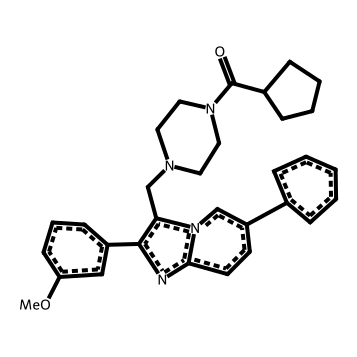 COc1cccc(-c2nc3ccc(-c4ccccc4)cn3c2CN2CCN(C(=O)C3CCCC3)CC2)c1